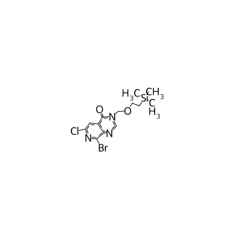 C[Si](C)(C)CCOCn1cnc2c(Br)nc(Cl)cc2c1=O